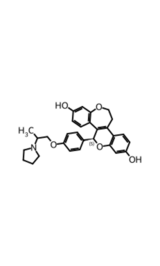 CC(COc1ccc([C@@H]2Oc3cc(O)ccc3C3=C2c2ccc(O)cc2OCC3)cc1)N1CCCC1